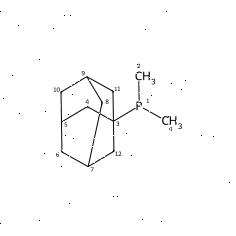 CP(C)C12CC3CC(CC(C3)C1)C2